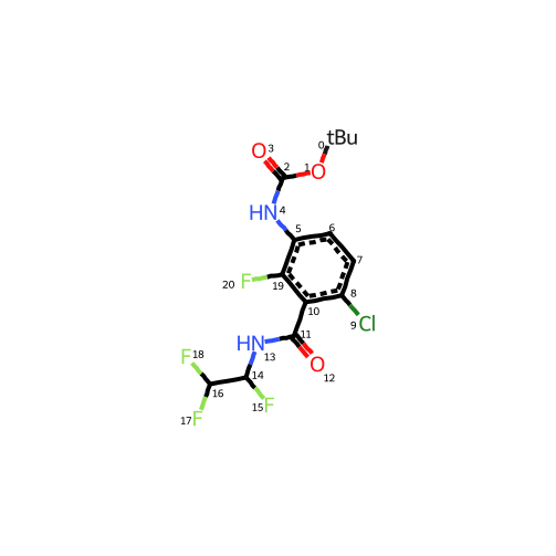 CC(C)(C)OC(=O)Nc1ccc(Cl)c(C(=O)NC(F)C(F)F)c1F